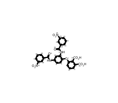 O=C(Nc1ccc(Oc2cccc(C(=O)O)c2C(=O)O)c(NC(=O)c2cccc([N+](=O)[O-])c2)c1)c1cccc([N+](=O)[O-])c1